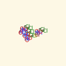 CC[C@@H](C)NC(=O)N1CC(OC(c2ccc(Cl)cc2)c2ccccc2Cl)C1.CC[C@H](C)NC(=O)N1CC(OC(c2ccc(Cl)cc2)c2ccccc2Cl)C1.Cc1cc(CNC(=O)N2CC(OC(c3ccc(Cl)cc3)c3ccccc3Cl)C2)no1.O=C(NCc1ccsc1Br)N1CC(OC(c2ccc(Cl)cc2)c2ccccc2Cl)C1